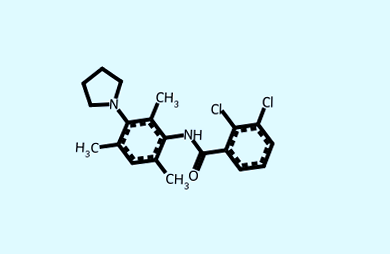 Cc1cc(C)c(N2CCCC2)c(C)c1NC(=O)c1cccc(Cl)c1Cl